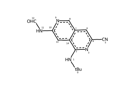 CC(C)(C)Nc1nc(C#N)cc2cnc(NC=O)cc12